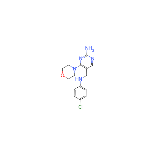 Nc1ncc(CNc2ccc(Cl)cc2)c(N2CCOCC2)n1